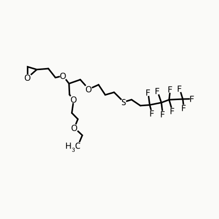 CCOCCOCC(COCCCSCCC(F)(F)C(F)(F)C(F)(F)C(F)(F)F)OCCC1CO1